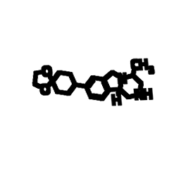 CC1CNC[C@@H]2c3ccc(C4CCC5(CC4)OCCO5)cc3CN12